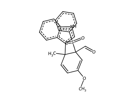 COC1=CC(C=O)(S(=O)(=O)c2ccccc2)C(C)(c2c[nH]c3ccccc23)C=C1